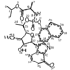 CC(C)OC(=O)C(C)NP(=O)(Oc1cccc2ccccc12)OC(C)[C@H]1O[C@@H](n2cnc3c2N=CCC3=O)C(O)C1O